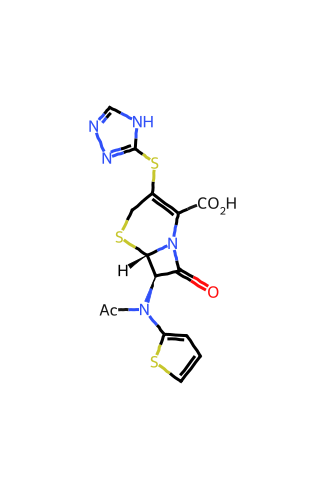 CC(=O)N(c1cccs1)[C@@H]1C(=O)N2C(C(=O)O)=C(Sc3nnc[nH]3)CS[C@@H]12